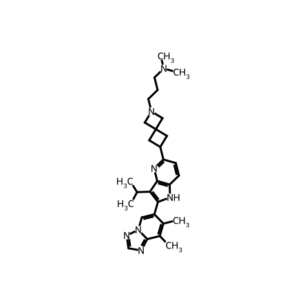 Cc1c(-c2[nH]c3ccc(C4CC5(C4)CN(CCCN(C)C)C5)nc3c2C(C)C)cn2ncnc2c1C